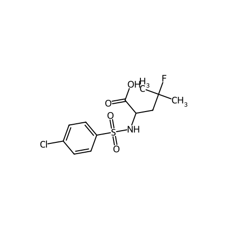 CC(C)(F)CC(NS(=O)(=O)c1ccc(Cl)cc1)C(=O)O